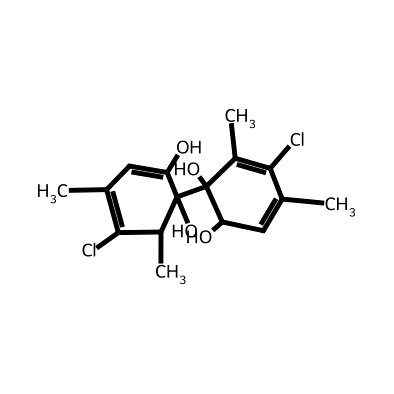 CC1=CC(O)C(O)(C2(O)C(O)=CC(C)=C(Cl)C2C)C(C)=C1Cl